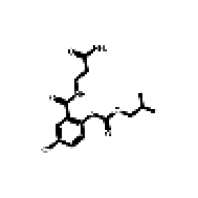 CC(C)COC(=O)Sc1ccc(Cl)cc1C(=O)NCCC(N)=O